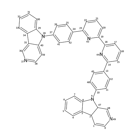 C1=CC2c3ccccc3N(c3ccc(-c4cccc(-c5cccc(-c6ccc(-n7c8ccccc8c8cnccc87)cc6)n5)n4)cc3)C2C=N1